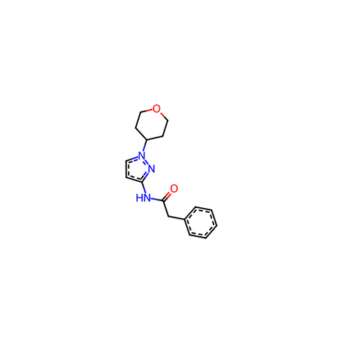 O=C(Cc1ccccc1)Nc1ccn(C2CCOCC2)n1